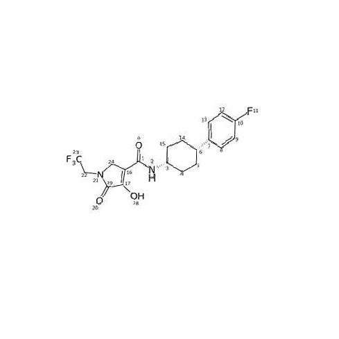 O=C(N[C@H]1CC[C@@H](c2ccc(F)cc2)CC1)C1=C(O)C(=O)N(CC(F)(F)F)C1